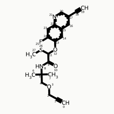 C#CCOCC(C)(C)NC(=O)C(Oc1cc2cc(C#C)cnc2cc1F)SC